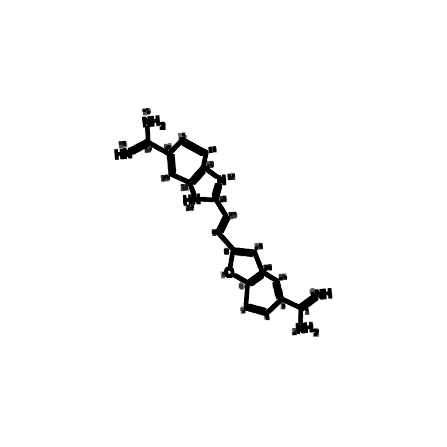 N=C(N)c1ccc2oc(C=Cc3nc4ccc(C(=N)N)cc4[nH]3)cc2c1